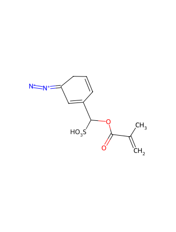 C=C(C)C(=O)OC(C1=CC(=[N+]=[N-])CC=C1)S(=O)(=O)O